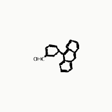 O=CC1=CC=CC(c2c3ccccc3cc3ccccc23)C1